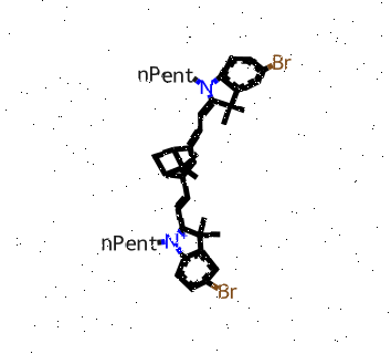 CCCCCN1/C(=C/C=C2C=C(/C=C/C3=[N+](CCCCC)c4ccc(Br)cc4C3(C)C)C3CC/2C3(C)C)C(C)(C)c2cc(Br)ccc21